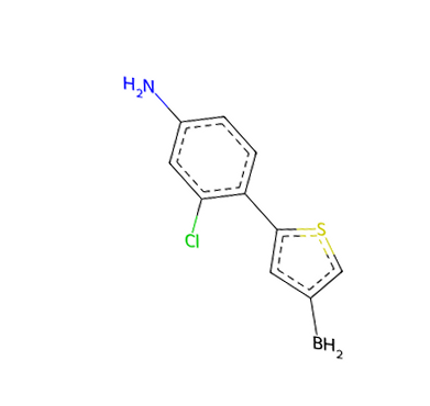 Bc1csc(-c2ccc(N)cc2Cl)c1